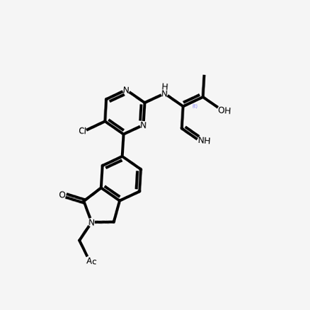 CC(=O)CN1Cc2ccc(-c3nc(N/C(C=N)=C(\C)O)ncc3Cl)cc2C1=O